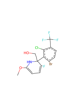 COC1=CC=C(F)C(CO)(c2c(Br)ccc(C(F)(F)F)c2Cl)N1